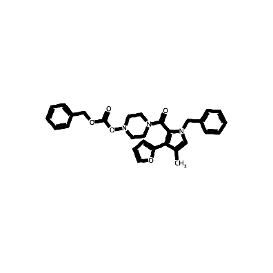 Cc1cn(Cc2ccccc2)c(C(=O)N2CCN(OC(=O)OCc3ccccc3)CC2)c1-c1ccco1